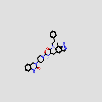 Cc1cc(CC(NC(=O)N2CCC(N3Cc4ccccc4NC3=O)CC2)C(=O)NCCc2ccccc2)cc2cn[nH]c12